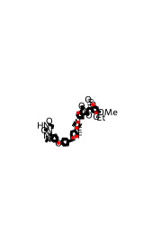 CCOc1cc([C@@H](CS(C)(=O)=O)N2C(=O)c3ccc(N4CCN([C@@H]5CCN(Cc6ccc(Oc7ccc8c(N9CCC(=O)NC9=O)nn(C)c8c7)cc6)CC5(F)F)CC4)cc3C2=O)ccc1OC